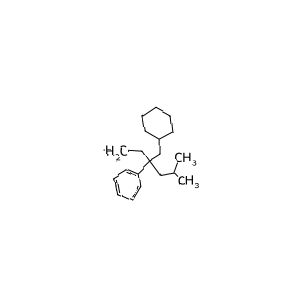 [CH2]CC(CC(C)C)(CC1CCCCC1)c1ccccc1